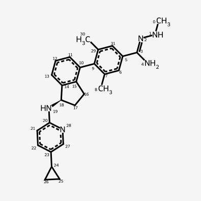 CN/N=C(\N)c1cc(C)c(-c2cccc3c2CC[C@H]3Nc2ccc(C3CC3)cn2)c(C)c1